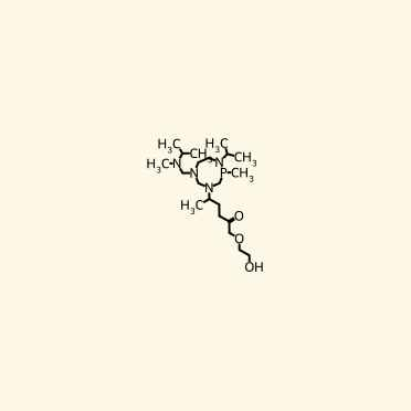 CC(C)N(C)CN1CCN(C(C)C)P(C)CN(C(C)CCC(=O)COCCO)C1